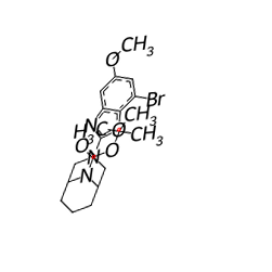 COc1cc(Br)c2oc(N3CC4CCCC(C3)N4C(=O)OC(C)(C)C)nc2c1